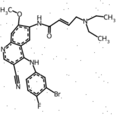 CCN(CC)CC=CC(=O)Nc1cc2c(Nc3ccc(F)c(Br)c3)c(C#N)cnc2cc1OC